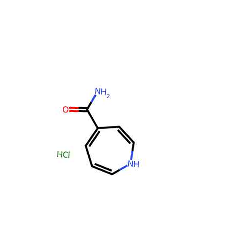 Cl.NC(=O)C1=CC=CNC=C1